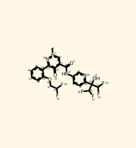 Cn1cc(C(=O)Nc2ccc(C(O)(C(F)F)C(F)F)nc2)c(=O)c(-c2ccccc2OCC(F)F)n1